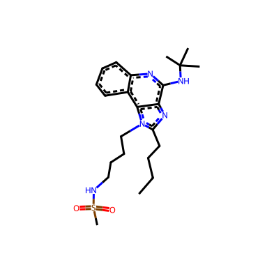 CCCCc1nc2c(NC(C)(C)C)nc3ccccc3c2n1CCCCNS(C)(=O)=O